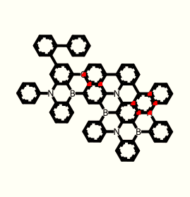 c1ccc(-c2ccccc2-c2cc3c4c(c2)N(c2ccccc2)c2ccccc2B4c2cc4c(cc2O3)N(c2c(-c3ccccc3)cccc2-c2ccccc2)c2cc3c5c6c2B4c2ccccc2N6c2ccccc2B5c2ccccc2N3c2ccccc2)cc1